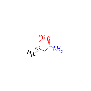 C[C@H](CO)CC(N)=O